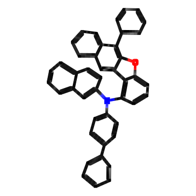 c1ccc(-c2ccc(N(c3ccc4ccccc4c3)c3cccc4oc5c(-c6ccccc6)c6ccccc6cc5c34)cc2)cc1